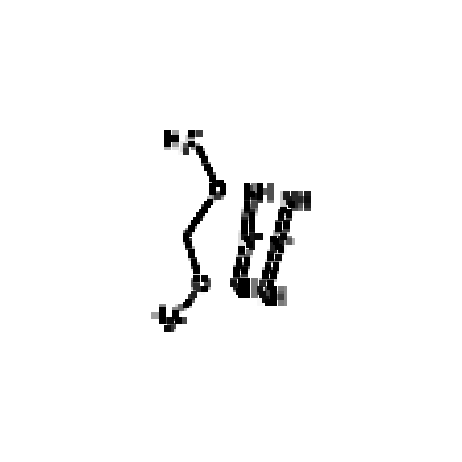 COCOC.N=[N+]=N.N=[N+]=N